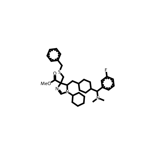 COC(=O)C1(CSCc2ccccc2)N=CN(C2CCCCC2)C1CC1CCC(C(c2cccc(F)c2)N(C)C)CC1